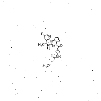 C=CCCC(=O)NC1CN(C(=O)c2nc(N[C@@H](C)c3cncc(F)c3)nc3ccsc23)C1